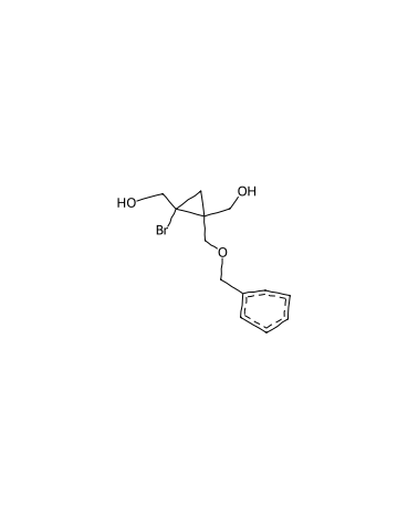 OCC1(Br)CC1(CO)COCc1ccccc1